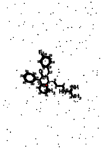 N=C(N)NCCC[C@H](C(N)=O)N(Cc1ccc(F)cc1)C(=O)C(c1ccccc1)c1ccccc1